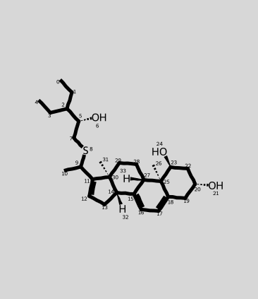 CCC(CC)[C@H](O)CSC(C)C1=CC[C@H]2C3=CC=C4C[C@@H](O)C[C@H](O)[C@]4(C)[C@H]3CC[C@]12C